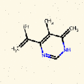 C=C1NC=NC(C(=C)C(C)C)=C1C